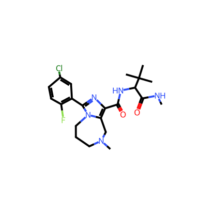 CNC(=O)C(NC(=O)c1nc(-c2cc(Cl)ccc2F)n2c1CN(C)CCC2)C(C)(C)C